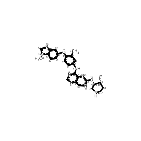 Cc1cc(Nc2ncnc3cnc(O[C@H]4CNCC[C@H]4F)nc23)ccc1Oc1ccc2c(c1)ncn2C